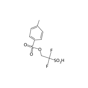 Cc1ccc(S(=O)(=O)OCC(F)(F)S(=O)(=O)O)cc1